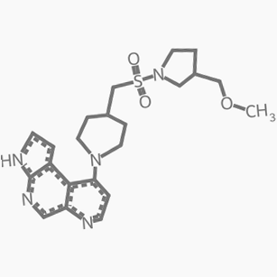 COCC1CCN(S(=O)(=O)CC2CCN(c3ccnc4cnc5[nH]ccc5c34)CC2)C1